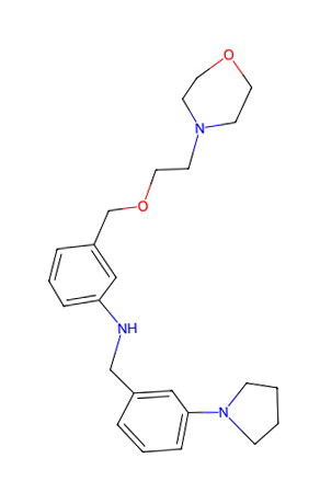 c1cc(COCCN2CCOCC2)cc(NCc2cccc(N3CCCC3)c2)c1